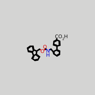 O=C(NCc1ccccc1-c1ccc(C(=O)O)cc1)OCC1c2ccccc2-c2ccccc21